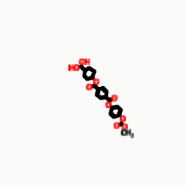 COC(=O)Oc1ccc(OC(=O)c2ccc(C(=O)OC3CCC(C(O)O)CC3)cc2)cc1